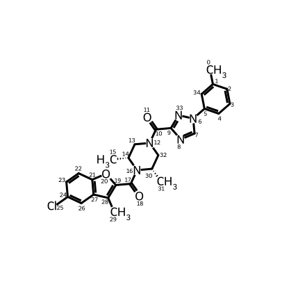 Cc1cccc(-n2cnc(C(=O)N3C[C@@H](C)N(C(=O)c4oc5ccc(Cl)cc5c4C)[C@@H](C)C3)n2)c1